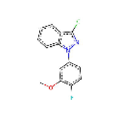 COc1cc(-n2nc(Cl)c3c[c]ccc32)ccc1F